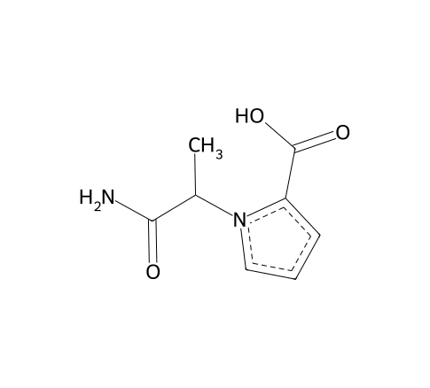 CC(C(N)=O)n1cccc1C(=O)O